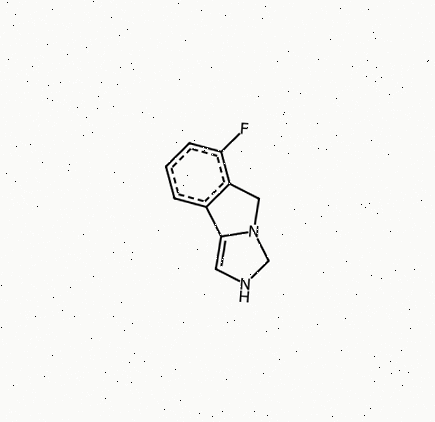 Fc1cccc2c1CN1CNC=C21